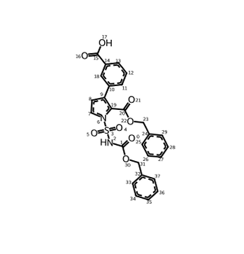 O=C(NS(=O)(=O)n1ccc(-c2cccc(C(=O)O)c2)c1C(=O)OCc1ccccc1)OCc1ccccc1